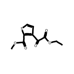 CCOC(=O)C(=O)c1ccsc1C(=O)OC